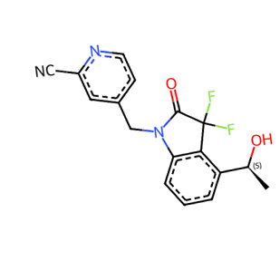 C[C@H](O)c1cccc2c1C(F)(F)C(=O)N2Cc1ccnc(C#N)c1